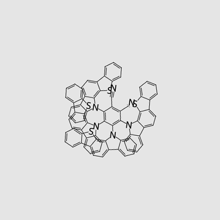 N#Cc1c(C#N)c(-n2c3ccccc3c3ccc4c5ccccc5sc4c32)c(-n2c3ccccc3c3ccc4c5ccccc5sc4c32)c(-n2c3ccccc3c3ccc4c5ccccc5sc4c32)c1-n1c2ccccc2c2ccc3c4ccccc4sc3c21